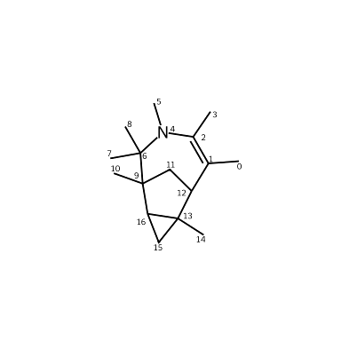 CC1=C(C)N(C)C(C)(C)C2(C)CC1C1(C)CC12